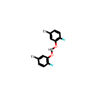 CCc1ccc(F)c(OBOc2cc(CC)ccc2F)c1